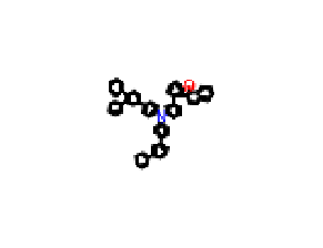 c1ccc(-c2cccc(-c3ccc(N(c4ccc(-c5ccc(-c6ccccc6)c(-c6ccccc6)c5)cc4)c4cccc(-c5cccc6oc7c8ccccc8ccc7c56)c4)cc3)c2)cc1